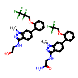 Cn1nc(NCC(N)=O)c2ccc(-c3ccccc3OCC(F)(F)F)cc21.Cn1nc(NCCO)c2ccc(-c3ccccc3OCC(F)(F)C(F)(F)F)cc21